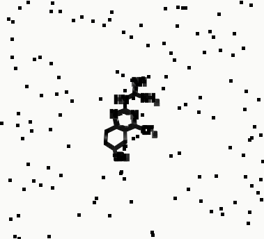 CC(C)(C)C1CCc2nc(NC(=N)N)nc(C(F)(F)F)c2C1